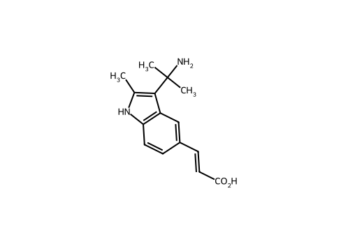 Cc1[nH]c2ccc(/C=C/C(=O)O)cc2c1C(C)(C)N